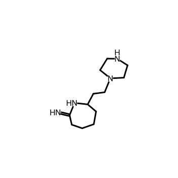 N=C1CCCCC(CCN2CCNCC2)N1